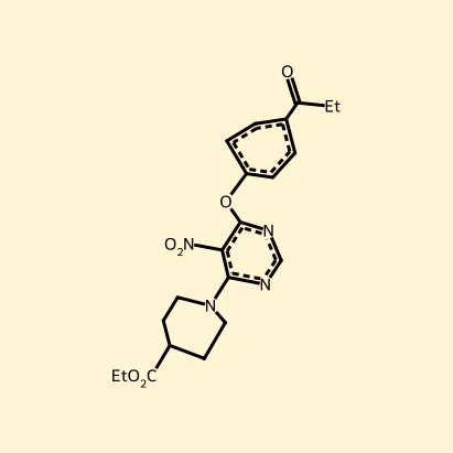 CCOC(=O)C1CCN(c2ncnc(Oc3ccc(C(=O)CC)cc3)c2[N+](=O)[O-])CC1